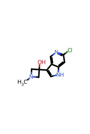 CN1CC(O)(c2c[nH]c3cc(Cl)ncc23)C1